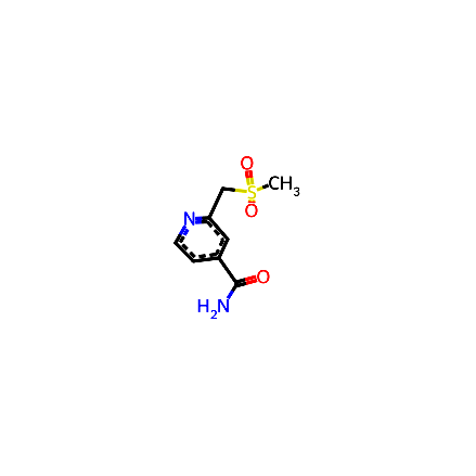 CS(=O)(=O)Cc1cc(C(N)=O)ccn1